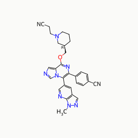 Cn1ncc2cc(-c3c(-c4ccc(C#N)cc4)nc(OC[C@@H]4CCCN(CCC#N)C4)c4cncn34)cnc21